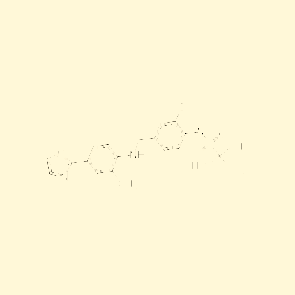 Cc1cc(-c2ncco2)ccc1NCc1ccc(NS(=O)(=O)C(C)(C)C)c(C)c1